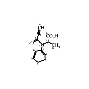 C#CC(=O)N(C1=CCCC=C1)[C@@H](C)C(=O)O